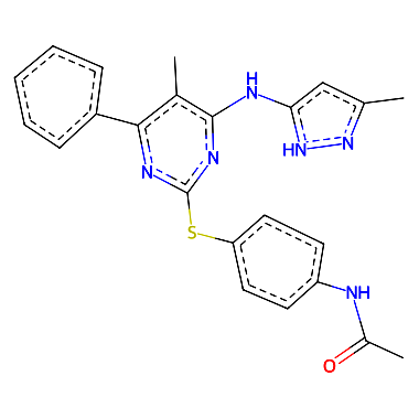 CC(=O)Nc1ccc(Sc2nc(Nc3cc(C)n[nH]3)c(C)c(-c3ccccc3)n2)cc1